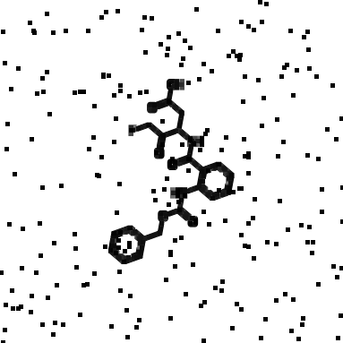 O=C(O)CC(NC(=O)c1ccccc1NC(=O)OCc1ccccc1)C(=O)CF